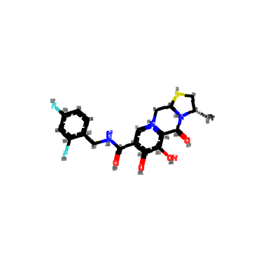 CC(C)[C@H]1CSC2Cn3cc(C(=O)NCc4ccc(F)cc4F)c(=O)c(O)c3C(=O)N21